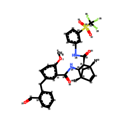 COc1ccc(Cc2ccccc2C=O)cc1C(=O)N[C@H]1[C@@H](C(=O)Nc2cccc(S(=O)(=O)C(F)(F)F)c2)[C@@H]2C=C[C@H]1C2